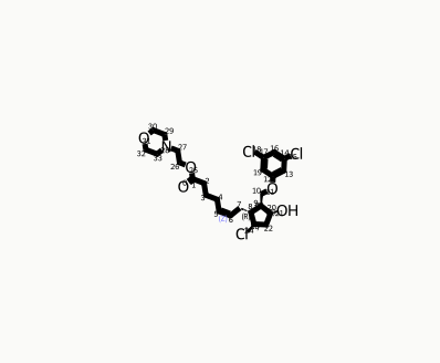 O=C(CCC/C=C\C[C@@H]1[C@@H](COc2cc(Cl)cc(Cl)c2)[C@H](O)C[C@H]1Cl)OCCN1CCOCC1